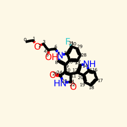 CCOCC(O)Cn1cc(C2=C(c3c[nH]c4ccccc34)C(=O)NC2=O)c2cccc(F)c21